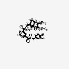 Cc1cc(CNC(=O)c2cc(C(=O)NCc3ccc(OC(C(N)=O)C(C)C)cc3)ncn2)ccc1F